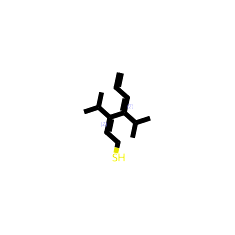 C=C/C=C(\C(=C/CS)C(C)C)C(C)C